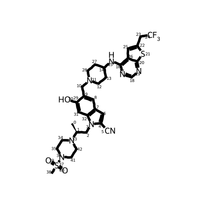 C[C@@H](Cn1c(C#N)cc2cc(CN3CCC(Nc4ncnc5sc(CC(F)(F)F)cc45)CC3)c(O)cc21)N1CCN(S(C)(=O)=O)CC1